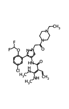 C=CC(C(=O)Nc1cn(CC(=O)N2CCN(CC)CC2)nc1-c1cc(Cl)ccc1OC(F)F)=C(NC)NC